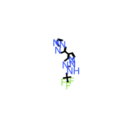 CC(C)(CNc1ncc2c(-c3cnc4nccn4c3)ccn2n1)C(F)(F)F